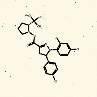 COC(C)(C)[C@@H]1CCCN1NC(=O)C1=NN(c2ccc(Cl)cc2Cl)C(c2ccc(Cl)cc2)C1